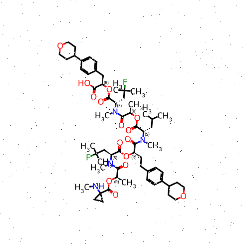 CNC1(C(=O)O[C@H](C)C(=O)N(C)[C@@H](CC(C)(C)F)C(=O)O[C@H](CCc2ccc(C3CCOCC3)cc2)C(=O)N(C)[C@@H](CC(C)C)C(=O)O[C@H](C)C(=O)N(C)[C@@H](CC(C)(C)F)C(=O)O[C@H](Cc2ccc(C3CCOCC3)cc2)C(=O)O)CC1